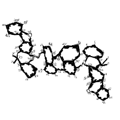 CC1(C)c2ccccc2N(c2ccc3c4cccc5c(N6c7ccccc7C(C)(C)c7cc8c(cc76)oc6ccccc68)ccc(c6cccc2c63)c54)c2cc3oc4ccccc4c3cc21